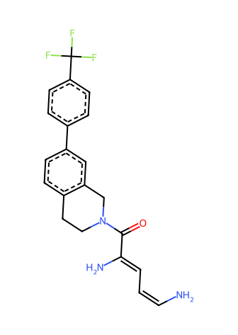 N/C=C\C=C(/N)C(=O)N1CCc2ccc(-c3ccc(C(F)(F)F)cc3)cc2C1